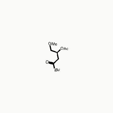 CCC(C)C(=O)CC(COC)OC(C)=O